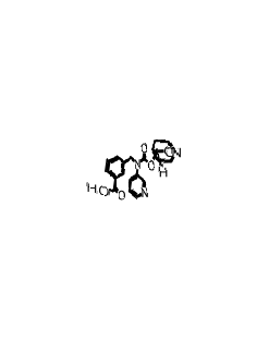 O=C(O)c1cccc(CN(C(=O)O[C@H]2CN3CCC2CC3)c2cccnc2)c1